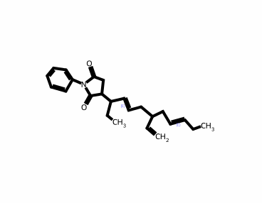 C=CC(C/C=C/CC)C/C=C/C(CC)C1CC(=O)N(c2ccccc2)C1=O